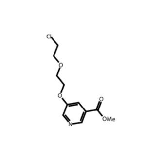 COC(=O)c1cncc(OCCOCCCl)c1